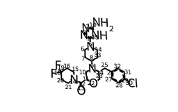 Nc1nnc(N2CCC(N3C[C@H](C(=O)N4CCC(F)(F)CC4)OC[C@@H]3Cc3ccc(Cl)cc3)CC2)[nH]1